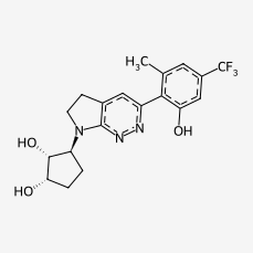 Cc1cc(C(F)(F)F)cc(O)c1-c1cc2c(nn1)N([C@H]1CC[C@H](O)[C@@H]1O)CC2